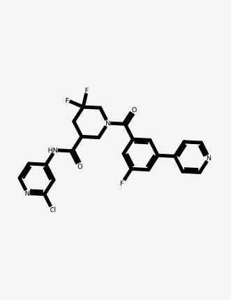 O=C(Nc1ccnc(Cl)c1)C1CN(C(=O)c2cc(F)cc(-c3ccncc3)c2)CC(F)(F)C1